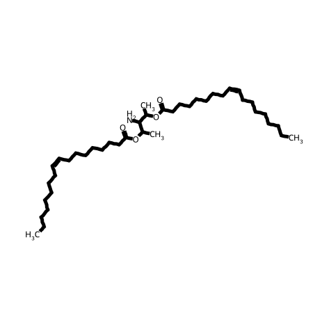 CCCCCCCC/C=C\CCCCCCCC(=O)OC(C)C(N)C(C)OC(=O)CCCCCCC/C=C\CCCCCCCC